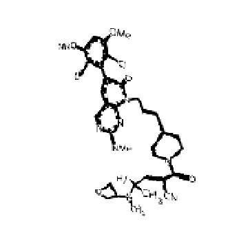 CNc1ncc2cc(-c3c(Cl)c(OC)cc(OC)c3Cl)c(=O)n(CCCC3CCN(C(=O)C(C#N)=CC(C)(C)N(C)C4COC4)CC3)c2n1